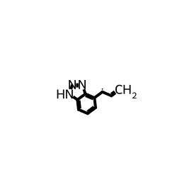 C=C[CH]c1cccc2[nH]nnc12